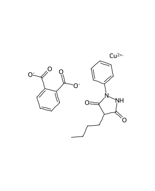 CCCCC1C(=O)NN(c2ccccc2)C1=O.O=C([O-])c1ccccc1C(=O)[O-].[Cu+2]